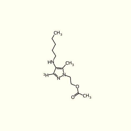 [2H]c1nn(CCOC(C)=O)c(C)c1NCCCCC